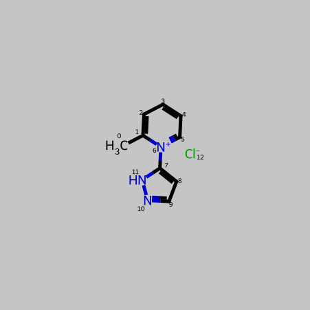 Cc1cccc[n+]1-c1ccn[nH]1.[Cl-]